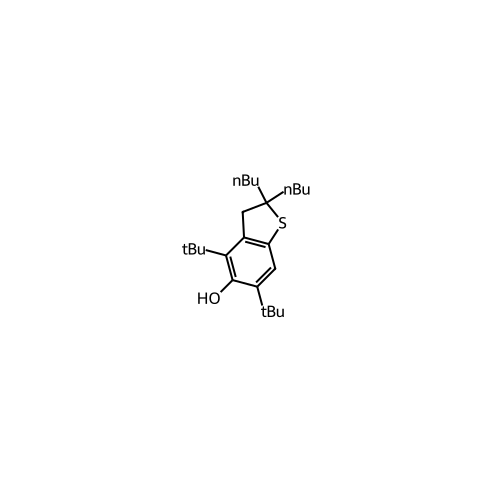 CCCCC1(CCCC)Cc2c(cc(C(C)(C)C)c(O)c2C(C)(C)C)S1